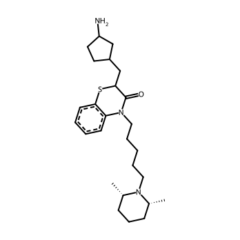 C[C@@H]1CCC[C@H](C)N1CCCCCN1C(=O)C(CC2CCC(N)C2)Sc2ccccc21